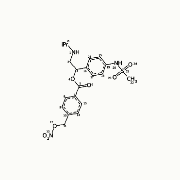 CC(C)NCC(OC(=O)c1ccc(CO[N+](=O)[O-])cc1)c1ccc(NS(C)(=O)=O)cc1